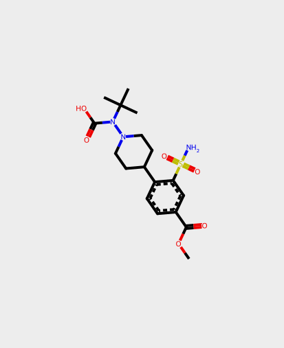 COC(=O)c1ccc(C2CCN(N(C(=O)O)C(C)(C)C)CC2)c(S(N)(=O)=O)c1